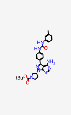 Cc1cccc(NC(=O)Nc2ccc(-c3nn([C@@H]4CCN(C(=O)OC(C)(C)C)C4)c4ncnc(N)c34)cc2)c1